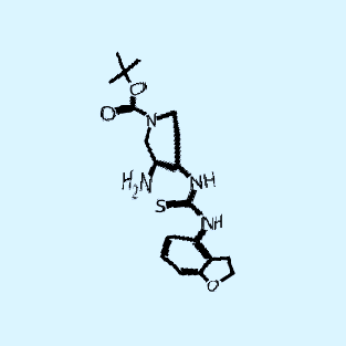 CC(C)(C)OC(=O)N1CCC(NC(=S)Nc2cccc3c2CCO3)C(N)C1